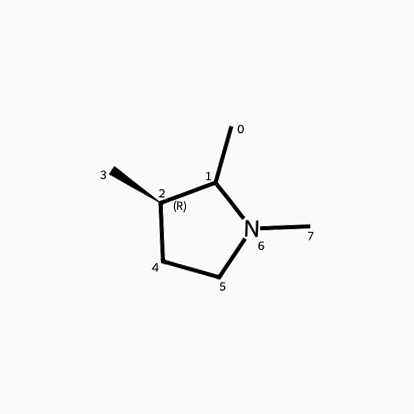 CC1[C@H](C)CCN1C